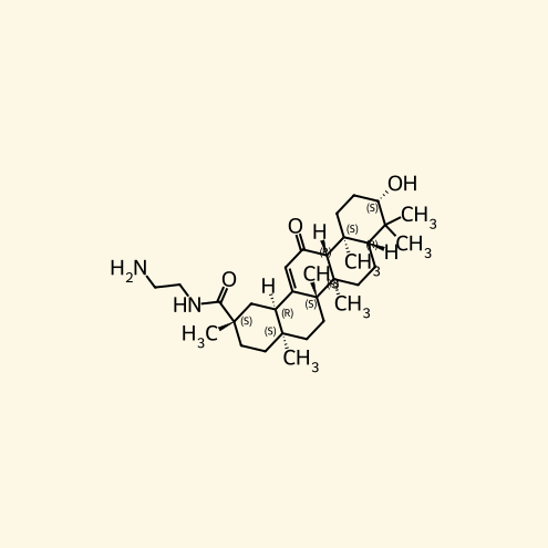 CC1(C)[C@@H](O)CC[C@]2(C)[C@H]3C(=O)C=C4[C@@H]5C[C@@](C)(C(=O)NCCN)CC[C@]5(C)CC[C@@]4(C)[C@]3(C)CC[C@@H]12